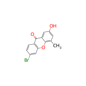 Cc1cc(O)cc2c(=O)c3ccc(Br)cc3oc12